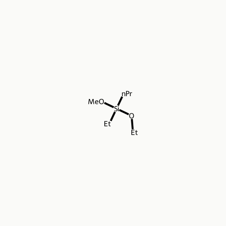 CCC[Si](CC)(OC)OCC